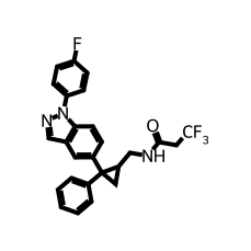 O=C(CC(F)(F)F)NCC1CC1(c1ccccc1)c1ccc2c(cnn2-c2ccc(F)cc2)c1